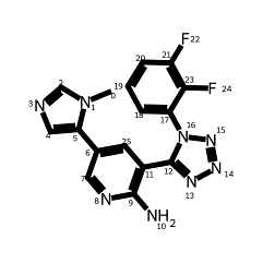 Cn1cncc1-c1cnc(N)c(-c2nnnn2-c2cccc(F)c2F)c1